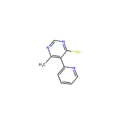 Cc1ncnc(S)c1-c1ccccn1